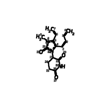 C=C/C=C\c1c(C=C)n(C)c(=O)n1C1CCC(=O)NC1=O